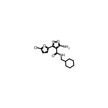 Nc1onc(-c2ccc(Cl)o2)c1C(=O)NCC1CCCCC1